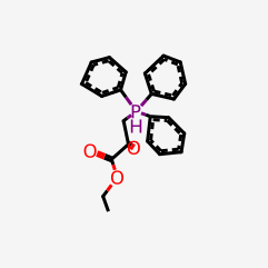 CCOC(=O)C(=O)C[PH](c1ccccc1)(c1ccccc1)c1ccccc1